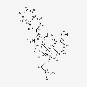 CN1C2CCC34C[C@@H](C2C32CCN(CC3CC3)C4Cc3ccc(O)cc32)[C@@H]1c1ccc2ccccc2c1